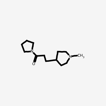 CN1CCC(CCC(=O)N2CCCC2)CC1